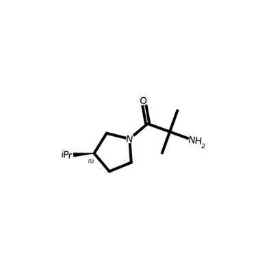 CC(C)[C@@H]1CCN(C(=O)C(C)(C)N)C1